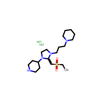 Cl.Cl.N#CCS(=O)(=O)/C=C1\N(CCCN2CCCCC2)CCN1C1CCNCC1